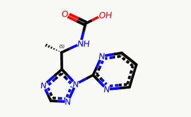 C[C@H](NC(=O)O)c1ncnn1-c1ncccn1